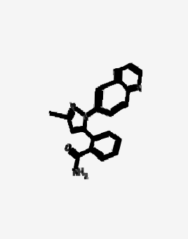 Cc1cc(-c2ccccc2C(N)=O)n(-c2ccc3ncccc3c2)n1